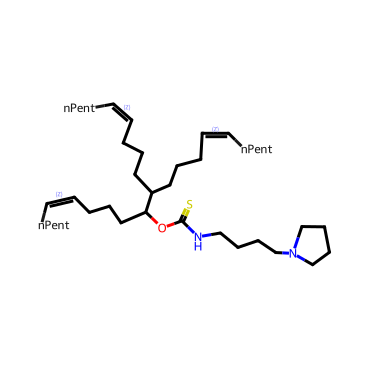 CCCCC/C=C\CCCC(CCC/C=C\CCCCC)C(CCC/C=C\CCCCC)OC(=S)NCCCCN1CCCC1